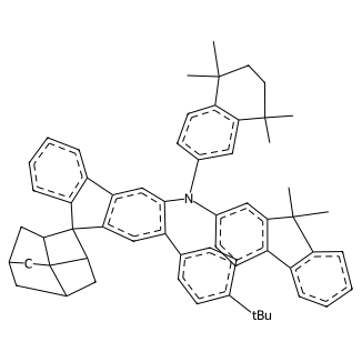 CC(C)(C)c1ccc(-c2cc3c(cc2N(c2ccc4c(c2)C(C)(C)CCC4(C)C)c2ccc4c(c2)C(C)(C)c2ccccc2-4)-c2ccccc2C32C3CC4CC5CC2C53C4)cc1